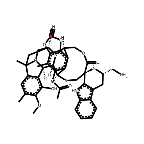 COc1c(C)cc2c(c1O)[C@@H]1[C@@H]3[C@@H]4SC[C@]5(N[C@H](CN)Cc6c5[nH]c5ccccc65)C(=O)OC[C@@H](c5c6c(c(C)c(OC(C)=O)c54)OCO6)N3[C@]3(C#N)CN1C2(C)C3